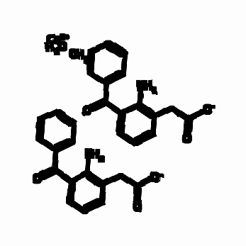 Nc1c(CC(=O)[O-])cccc1C(=O)c1ccccc1.Nc1c(CC(=O)[O-])cccc1C(=O)c1ccccc1.O.O.[Ca+2]